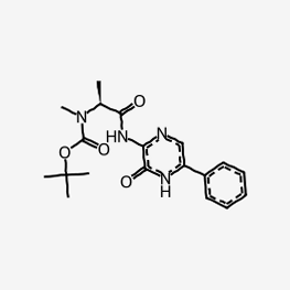 C[C@@H](C(=O)Nc1ncc(-c2ccccc2)[nH]c1=O)N(C)C(=O)OC(C)(C)C